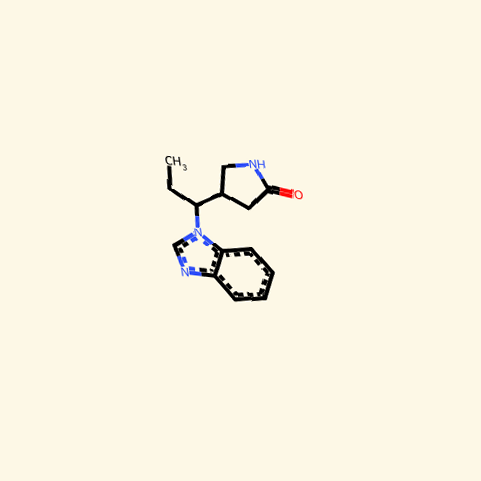 CCC(C1CNC(=O)C1)n1cnc2ccccc21